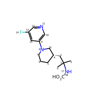 CC(C)(C[C@@H]1CCCN(c2cncc(F)c2)C1)NC(=O)O